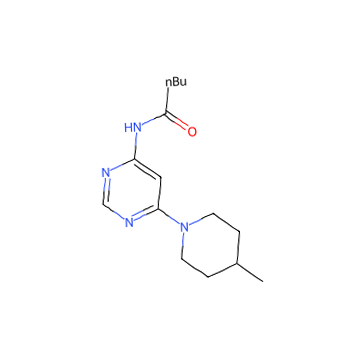 CCCCC(=O)Nc1cc(N2CCC(C)CC2)ncn1